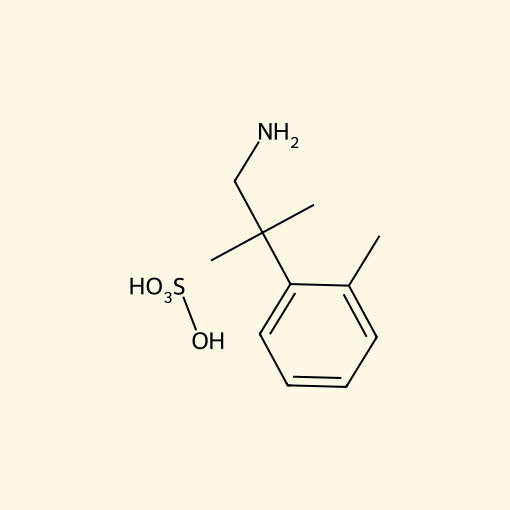 Cc1ccccc1C(C)(C)CN.O=S(=O)(O)O